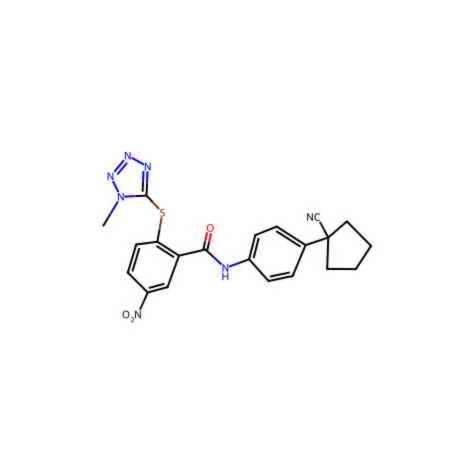 Cn1nnnc1Sc1ccc([N+](=O)[O-])cc1C(=O)Nc1ccc(C2(C#N)CCCC2)cc1